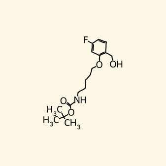 CC(C)(C)OC(=O)NCCCCCOc1cc(F)ccc1CO